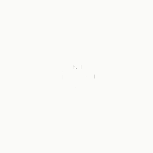 N.OCCl